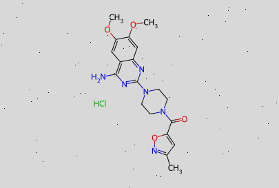 COc1cc2nc(N3CCN(C(=O)c4cc(C)no4)CC3)nc(N)c2cc1OC.Cl